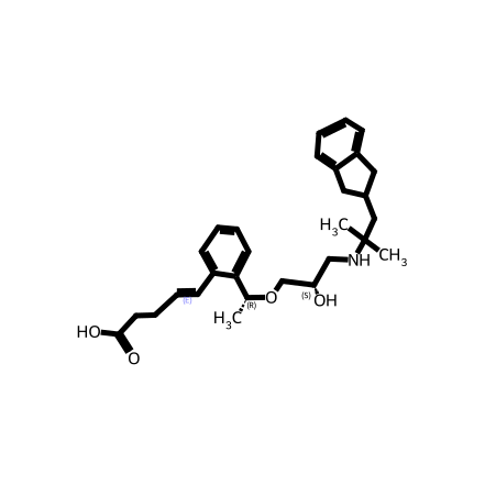 C[C@@H](OC[C@@H](O)CNC(C)(C)CC1Cc2ccccc2C1)c1ccccc1/C=C/CCC(=O)O